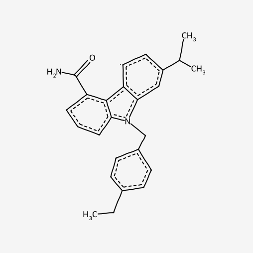 CCc1ccc(Cn2c3cc(C(C)C)c[c]c3c3c(C(N)=O)cccc32)cc1